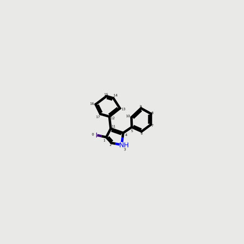 Ic1c[nH]c(-c2ccccc2)c1-c1ccccc1